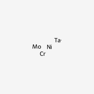 [Cr].[Mo].[Ni].[Ta]